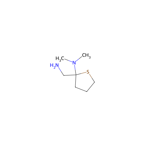 CN(C)C1(CN)CCCS1